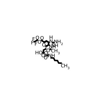 CCCCCCCNC(=O)OC(O)(O)CC[C@H]1OC(C(=O)OC(=O)C(F)(F)F)=C[C@H](NC(=N)N)[C@H]1NC(C)=O